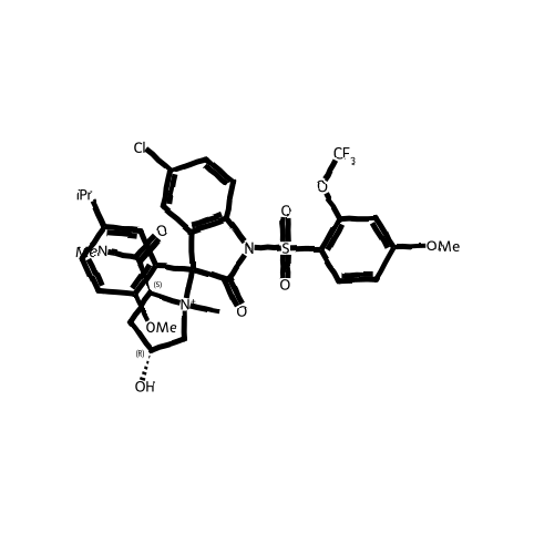 CNC(=O)[C@@H]1C[C@@H](O)C[N+]1(C)C1(c2cc(C(C)C)ccc2OC)C(=O)N(S(=O)(=O)c2ccc(OC)cc2OC(F)(F)F)c2ccc(Cl)cc21